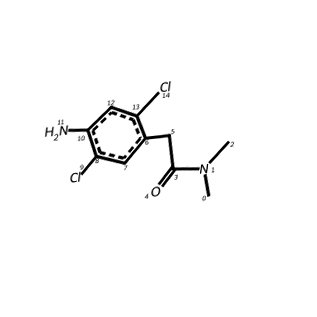 CN(C)C(=O)Cc1cc(Cl)c(N)cc1Cl